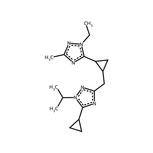 CCn1nc(C)nc1C1CC1Cc1nc(C2CC2)n(C(C)C)n1